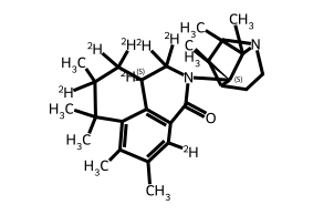 [2H]c1c(C)c(C)c2c3c1C(=O)N([C@@]1(C)C4CCN(CC4)C1(C)C)C([2H])([2H])[C@@]3([2H])C([2H])([2H])C([2H])(C)C2(C)C